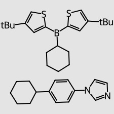 CC(C)(C)c1csc(B(c2cc(C(C)(C)C)cs2)C2CCCCC2)c1.c1cn(-c2ccc(C3CCCCC3)cc2)cn1